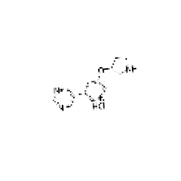 Cl.c1ncc(-c2cncc(O[C@H]3CCNC3)c2)cn1